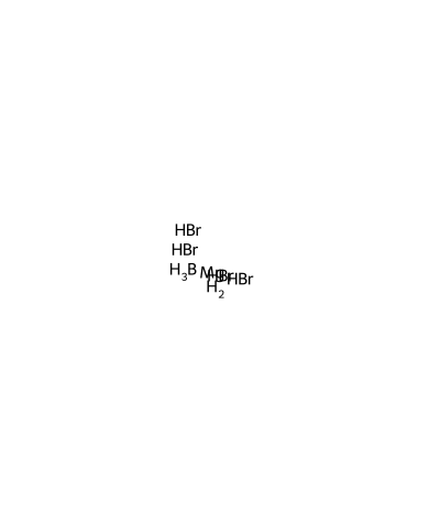 B.Br.Br.Br.Br.[MgH2]